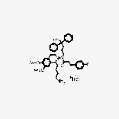 CCCC(CCCN(C(=O)CCc1ccc(F)cc1)N1CCc2cc(OC)c(OC)cc2C1CCCCN)(c1ccccc1)c1ccccc1.Cl.Cl